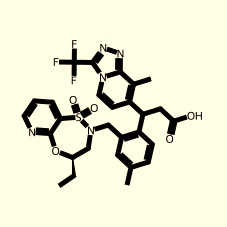 CC[C@@H]1CN(Cc2cc(C)ccc2C(CC(=O)O)c2ccn3c(C(F)(F)F)nnc3c2C)S(=O)(=O)c2cccnc2O1